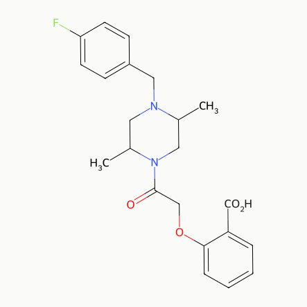 CC1CN(C(=O)COc2ccccc2C(=O)O)C(C)CN1Cc1ccc(F)cc1